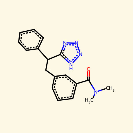 CN(C)C(=O)c1cccc(C[C](c2ccccc2)c2nnn[nH]2)c1